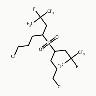 O=S(=O)(C(CCCCl)CC(F)(C(F)(F)F)C(F)(F)F)C(CCCCl)CC(F)(C(F)(F)F)C(F)(F)F